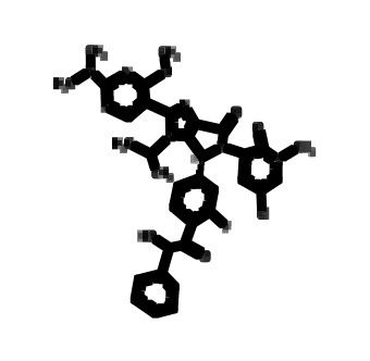 COc1nc(N(C)C)ncc1-c1nc2c(n1C(C)C)[C@@H](c1ccc(C(=O)C(O)c3ccccc3)c(F)c1)N(c1cc(Cl)cn(C)c1=O)C2=O